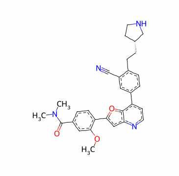 COc1cc(C(=O)N(C)C)ccc1-c1cc2nccc(-c3ccc(CC[C@@H]4CCNC4)c(C#N)c3)c2o1